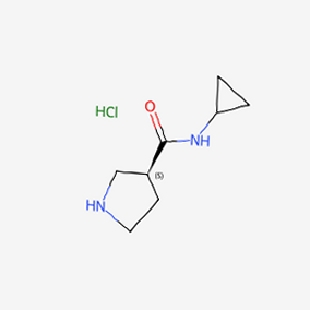 Cl.O=C(NC1CC1)[C@H]1CCNC1